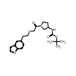 CC(C)(C)OC(=O)NC1CCN(C(=O)COCCc2ccc3occc3c2)C1